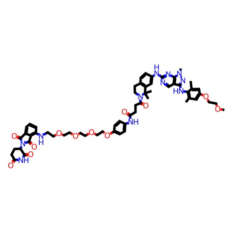 COCCOc1cc(C)c(Nc2nn(C)c3nc(Nc4ccc5c(c4)C(C)(C)N(C(=O)CCC(=O)Nc4ccc(OCCOCCOCCOCCNc6cccc7c6C(=O)N(C6CCC(=O)NC6=O)C7=O)cc4)CC5)ncc23)c(C)c1